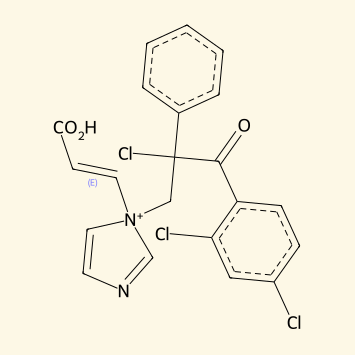 O=C(O)/C=C/[N+]1(CC(Cl)(C(=O)c2ccc(Cl)cc2Cl)c2ccccc2)C=CN=C1